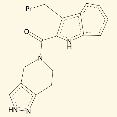 CC(C)Cc1c(C(=O)N2CCc3n[nH]cc3C2)[nH]c2ccccc12